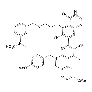 COc1ccc(CN(Cc2ccc(OC)cc2)c2cc(C)c(C(F)(F)F)c(-c3cc4nc[nH]c(=O)c4c(OCCNCc4cncc(N(C)C(=O)O)c4)c3Cl)n2)cc1